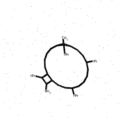 BC1C(CCC)C2CCCCC3C(C)C(CCC(CCC)CCCCC(CCC)CCC12)C3CCC